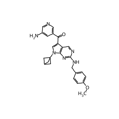 COc1ccc(CNc2ncc3c(C(=O)c4cncc(N)c4)cn(C45CC(C4)C5)c3n2)cc1